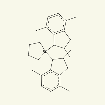 Cc1ccc(C)c2c1CC(C)C2[Si]1(C2c3c(C)ccc(C)c3CC2C)CCCC1